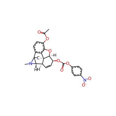 CC(=O)Oc1ccc2c3c1O[C@H]1[C@@H](OC(=O)Oc4ccc([N+](=O)[O-])cc4)C=C[C@H]4[C@@H]5N(C)C25C[C@@]341